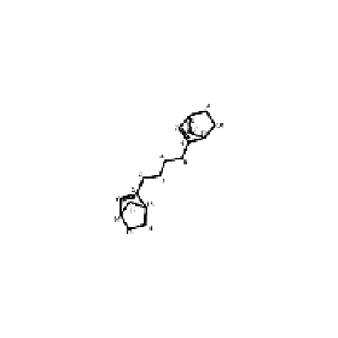 C1=C(CCCCC2=CC3CCC2C3)C2CCC1C2